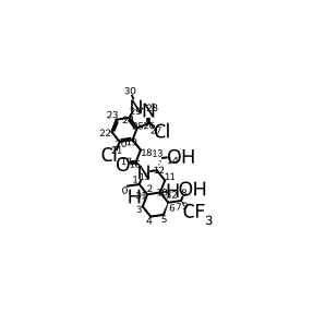 CC1[C@@H]2CCC[C@H]([C@H](O)C(F)(F)F)[C@H]2C[C@@H](CO)N1C(=O)Cc1c(Cl)ccc2c1c(Cl)nn2C